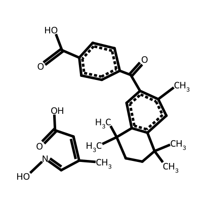 CC(C=NO)=CC(=O)O.Cc1cc2c(cc1C(=O)c1ccc(C(=O)O)cc1)C(C)(C)CCC2(C)C